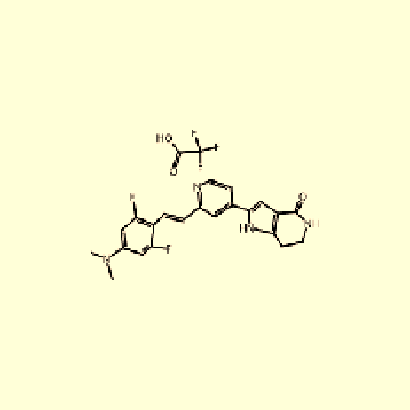 CN(C)c1cc(F)c(C=Cc2cc(-c3cc4c([nH]3)CCNC4=O)ccn2)c(F)c1.O=C(O)C(F)(F)F